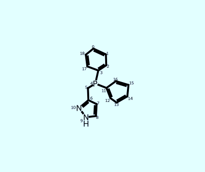 c1ccc(P(Cc2cc[nH]n2)c2ccccc2)cc1